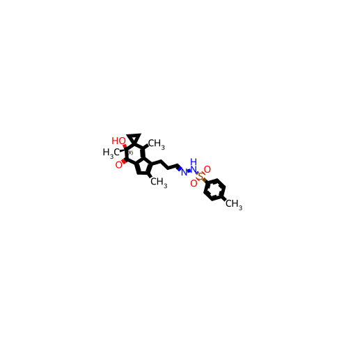 CC1=C(CCC=NNS(=O)(=O)c2ccc(C)cc2)C2=C(C)C3(CC3)[C@@](C)(O)C(=O)C2=C1